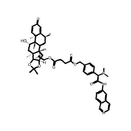 CN(C)C(C(=O)Nc1ccc2cnccc2c1)c1ccc(COC(=O)CCC(=O)OCC(=O)[C@@]23OC(C)(C)O[C@@H]2C[C@H]2C4C[C@H](F)C5=CC(=O)C=C[C@]5(C)[C@@]4(F)[C@@H](O)C[C@@]23C)cc1